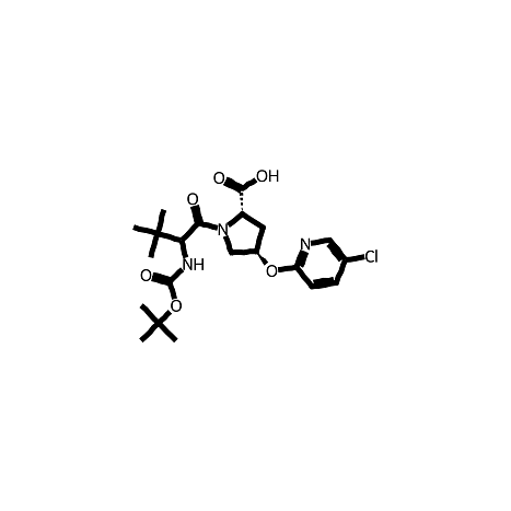 CC(C)(C)OC(=O)NC(C(=O)N1C[C@H](Oc2ccc(Cl)cn2)C[C@H]1C(=O)O)C(C)(C)C